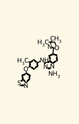 Cc1cc(Nc2ncnc3ccc(C4=NC(C)(C)CO4)cc23)ccc1Oc1ccc2ncsc2c1.N